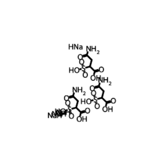 NC(=O)CC(C(=O)O)S(=O)(=O)O.NC(=O)CC(C(=O)O)S(=O)(=O)O.NC(=O)CC(C(=O)O)S(=O)(=O)O.[NaH].[NaH].[NaH].[NaH]